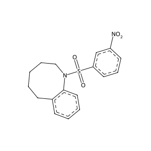 O=[N+]([O-])c1cccc(S(=O)(=O)N2CCCCCc3ccccc32)c1